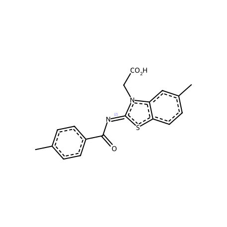 Cc1ccc(C(=O)/N=c2\sc3ccc(C)cc3n2CC(=O)O)cc1